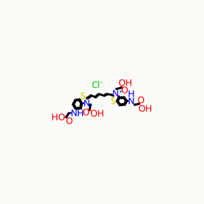 O=C(O)CNc1ccc2c(c1)N(CC(=O)O)C(=CC=CC=Cc1sc3ccc(NCC(=O)O)cc3[n+]1CC(=O)O)S2.[Cl-]